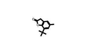 Cc1cc2c(c(C(C)(C)C)c1)OC(=O)C2